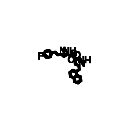 O=C(Oc1cc(Cc2cccc3ccccc23)n[nH]c1=O)c1cc(CCc2ccc(F)cc2)n[nH]1